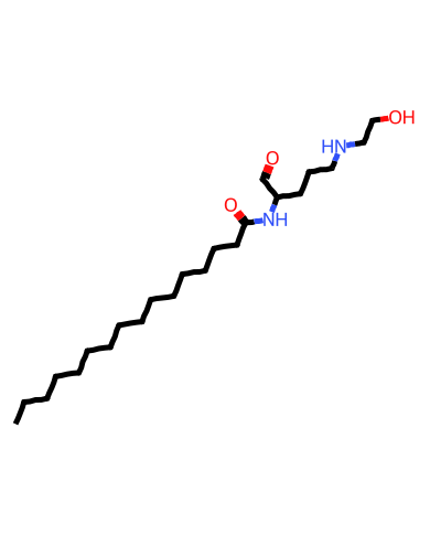 CCCCCCCCCCCCCCCC(=O)NC(C=O)CCCNCCO